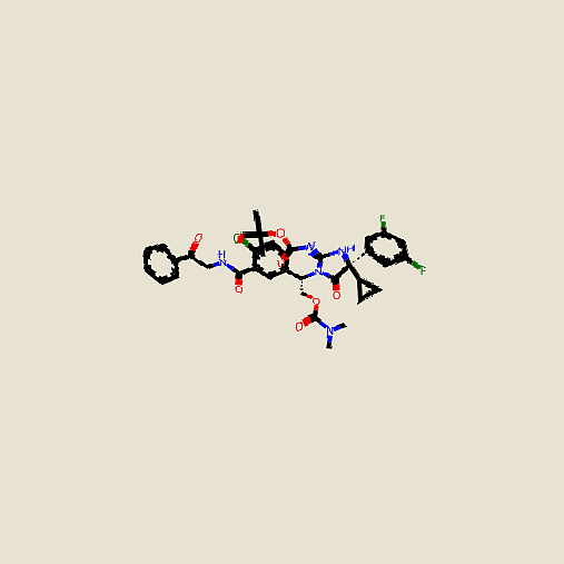 CN(C)C(=O)OC[C@H](c1ccc(Cl)c(C(=O)NCC(=O)c2ccccc2)c1)N1C(=O)[C@](c2cc(F)cc(F)c2)(C2CC2)N/C1=N/C(=O)OC(C)(C)C